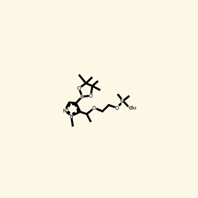 CC(OCCO[Si](C)(C)C(C)(C)C)c1c(B2OC(C)(C)C(C)(C)O2)cnn1C